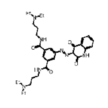 CCN(CC)CCCNC(=O)c1cc(N=NC2C(=O)Nc3ccccc3C2=O)cc(C(=O)NCCCN(CC)CC)c1